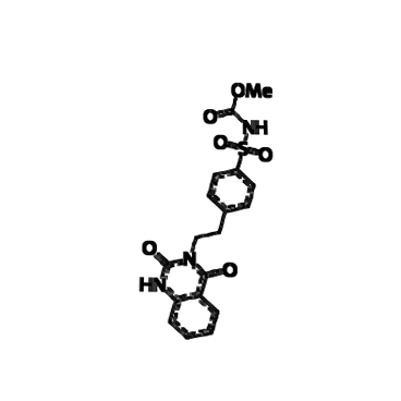 COC(=O)NS(=O)(=O)c1ccc(CCn2c(=O)[nH]c3ccccc3c2=O)cc1